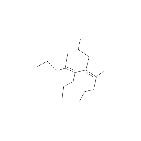 CCCC(C)=C(CCC)C(CCC)=C(C)CCC